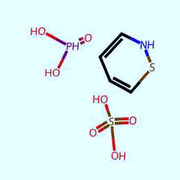 C1=CNSC=C1.O=S(=O)(O)O.O=[PH](O)O